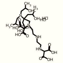 CC(O)CN(CC(C)O)C(CC(C)O)(CC(C)O)CN(CCNCCNC(C(=O)O)C(=O)O)C(C(=O)O)C(=O)O.Cl.Cl